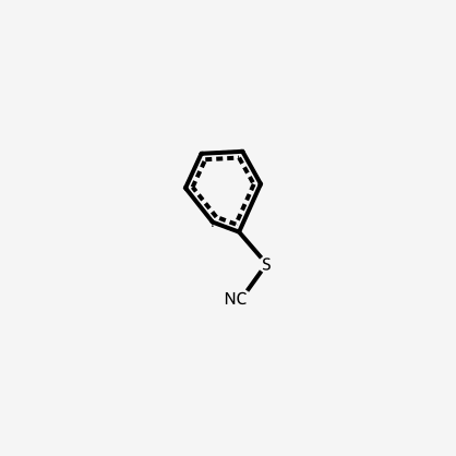 N#CSc1[c]cccc1